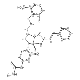 CCNC(=O)Nc1ccn([C@@H]2O[C@H](COCc3c(F)cccc3C(=O)O)C3O[C@H](/C=C/c4ccccc4)O[C@@H]32)c(=O)n1